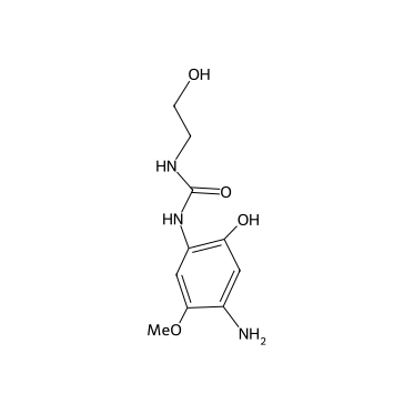 COc1cc(NC(=O)NCCO)c(O)cc1N